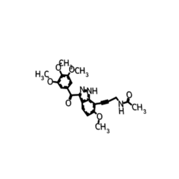 COc1cc(C(=O)c2n[nH]c3c(C#CCNC(C)=O)c(OC)ccc23)cc(OC)c1OC